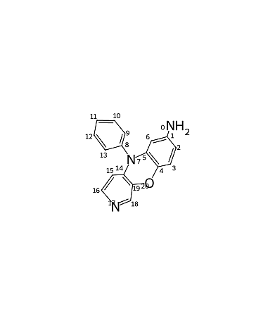 Nc1ccc2c(c1)N(c1ccccc1)c1ccncc1O2